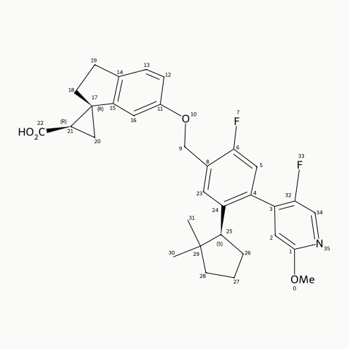 COc1cc(-c2cc(F)c(COc3ccc4c(c3)[C@]3(CC4)C[C@H]3C(=O)O)cc2[C@H]2CCCC2(C)C)c(F)cn1